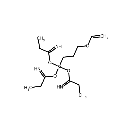 C=COCCC[Si](OC(=N)CC)(OC(=N)CC)OC(=N)CC